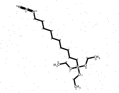 CCO[Si](CCCCCCCCCCN=[N+]=[N-])(OCC)OCC